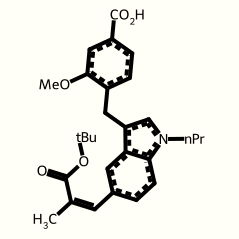 CCCn1cc(Cc2ccc(C(=O)O)cc2OC)c2cc(C=C(C)C(=O)OC(C)(C)C)ccc21